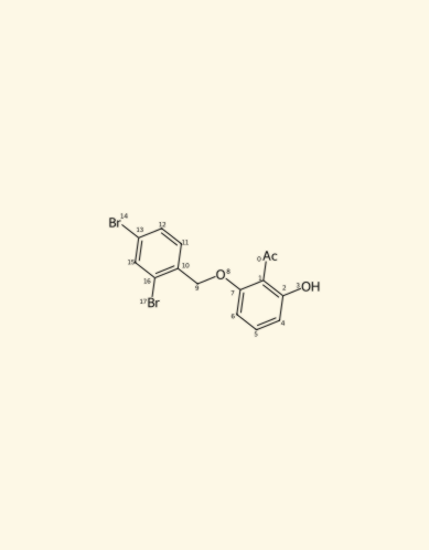 CC(=O)c1c(O)cccc1OCc1ccc(Br)cc1Br